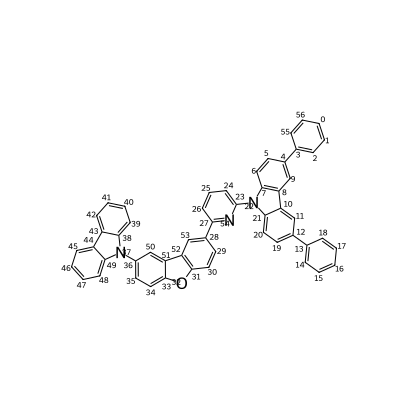 c1ccc(-c2ccc3c(c2)c2cc(-c4ccccc4)ccc2n3-c2cccc(-c3ccc4oc5ccc(-n6c7ccccc7c7ccccc76)cc5c4c3)n2)cc1